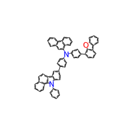 c1ccc(-n2c3ccc(-c4ccc(N(c5ccc(-c6cccc7c6oc6ccccc67)cc5)c5cc6ccccc6c6ccccc56)cc4)cc3c3ccc4ccccc4c32)cc1